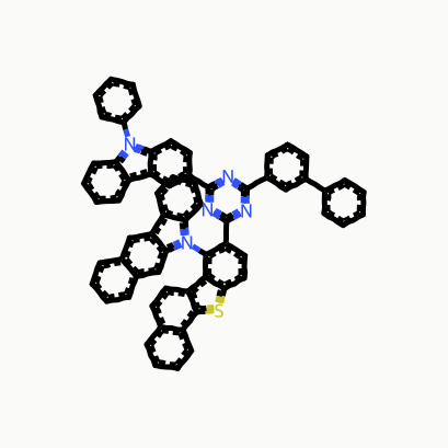 c1ccc(-c2cccc(-c3nc(-c4ccc5c(c4)c4ccccc4n5-c4ccccc4)nc(-c4ccc5sc6c7ccccc7ccc6c5c4-n4c5ccccc5c5cc6ccccc6cc54)n3)c2)cc1